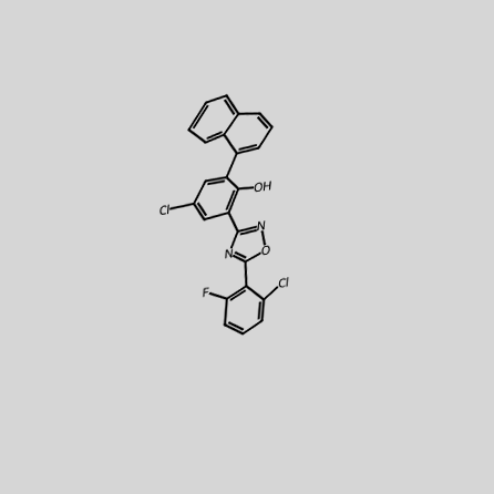 Oc1c(-c2noc(-c3c(F)cccc3Cl)n2)cc(Cl)cc1-c1cccc2ccccc12